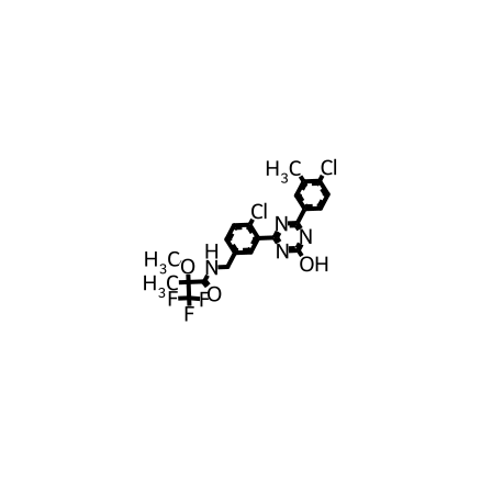 COC(C)(C(=O)NCc1ccc(Cl)c(-c2nc(O)nc(-c3ccc(Cl)c(C)c3)n2)c1)C(F)(F)F